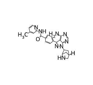 Cc1ccnc(NC(=O)c2ccc(-c3nn(C4C[C@@H]5CNC4C5)c4ncnc(N)c34)cc2)c1